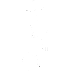 FC(F)(F)c1ccc(Nc2cnccn2)nn1